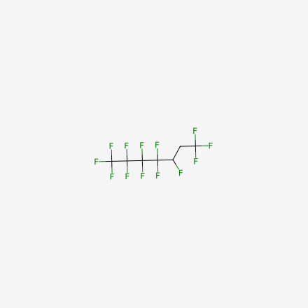 FC(CC(F)(F)F)C(F)(F)C(F)(F)C(F)(F)C(F)(F)F